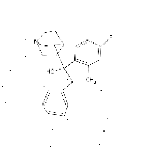 Cc1cc(F)ccc1C(O)(Cc1ccccc1)C1CN2CCC1CC2